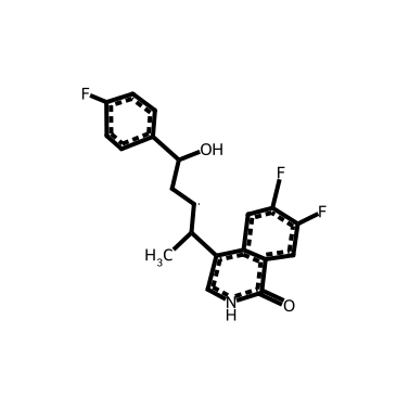 CC([CH]CC(O)c1ccc(F)cc1)c1c[nH]c(=O)c2cc(F)c(F)cc12